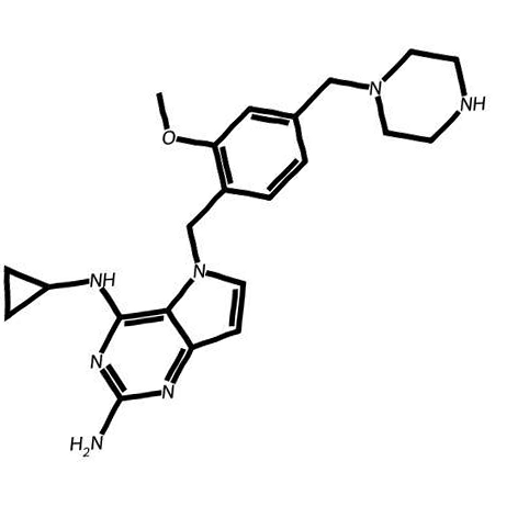 COc1cc(CN2CCNCC2)ccc1Cn1ccc2nc(N)nc(NC3CC3)c21